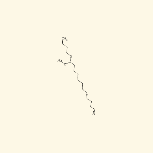 CCCCOC(CC/C=C/CC/C=C/CCC=O)OO